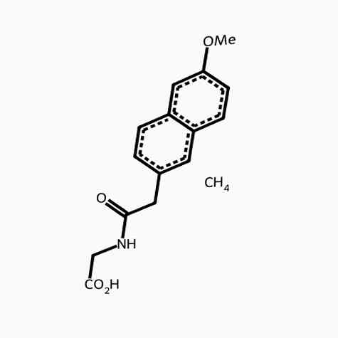 C.COc1ccc2cc(CC(=O)NCC(=O)O)ccc2c1